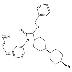 CC(C)[C@H]1CC[C@@H](N2CCC3(CC2)C(OCc2ccccc2)C(=O)N3c2ccccc2)CC1.O=C(O)C=CC(=O)O